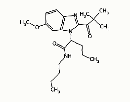 CCCCNC(=O)C(CCC)n1c(C(=O)C(C)(C)C)nc2ccc(OC)cc21